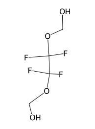 OCOC(F)(F)C(F)(F)OCO